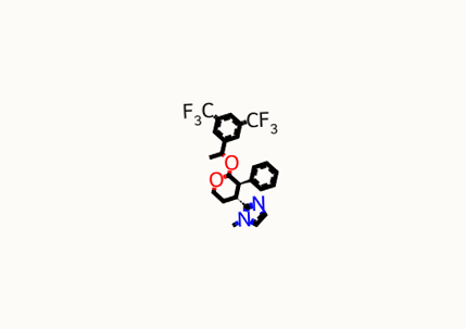 CC(OC1OCC[C@@H](c2nccn2C)[C@@H]1c1ccccc1)c1cc(C(F)(F)F)cc(C(F)(F)F)c1